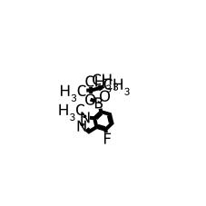 Cn1ncc2c(F)ccc(B3OC(C)(C)C(C)(C)O3)c21